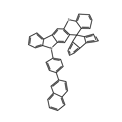 c1ccc2c(c1)Sc1cc3c4ccccc4n(-c4ccc(-c5ccc6ccccc6c5)cc4)c3cc1C21c2ccccc2-c2ccccc21